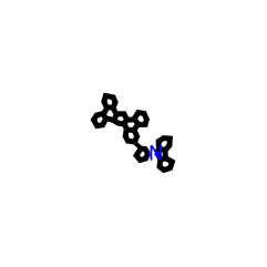 c1cc(-c2ccc3c(c2)c2ccccc2c2cc4c5ccccc5c5ccccc5c4cc32)cc(-n2c3ccccc3c3ccccc32)c1